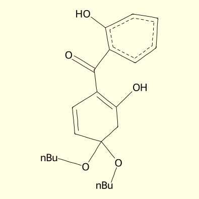 CCCCOC1(OCCCC)C=CC(C(=O)c2ccccc2O)=C(O)C1